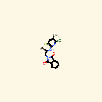 CC(C)C(CN1C(=O)c2ccccc2C1=O)Nc1nc(Cl)c(C#N)cc1F